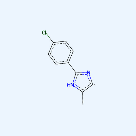 Cc1[c]nc(-c2ccc(Cl)cc2)[nH]1